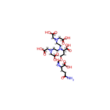 NC(=O)CCC(/N=C\OCCC(C(=O)O)N(CCN(CC(=O)O)CC(=O)O)CCN(CC(=O)O)CC(=O)O)C(=O)O